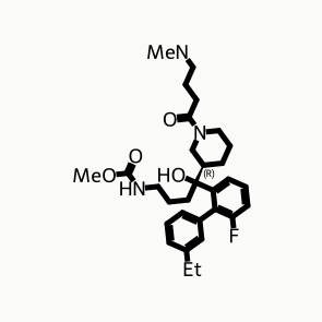 CCc1cccc(-c2c(F)cccc2C(O)(CCCNC(=O)OC)[C@@H]2CCCN(C(=O)CCCNC)C2)c1